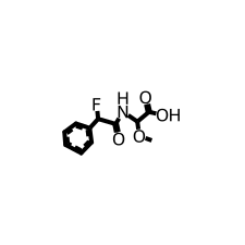 COC(NC(=O)C(F)c1ccccc1)C(=O)O